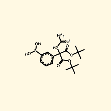 CC(C)(C)OC(=O)C(NC(=N)N)(C(=O)OC(C)(C)C)c1cccc(B(O)O)c1